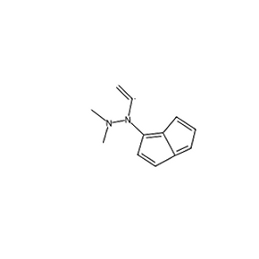 C=[C]N(C1=C2C=CC=C2C=C1)N(C)C